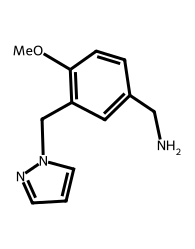 COc1ccc(CN)cc1Cn1cccn1